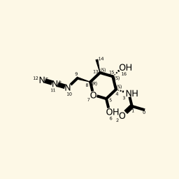 CC(=O)N[C@@H]1C(O)O[C@@H](CN=[N+]=[N-])[C@@H](C)[C@@H]1O